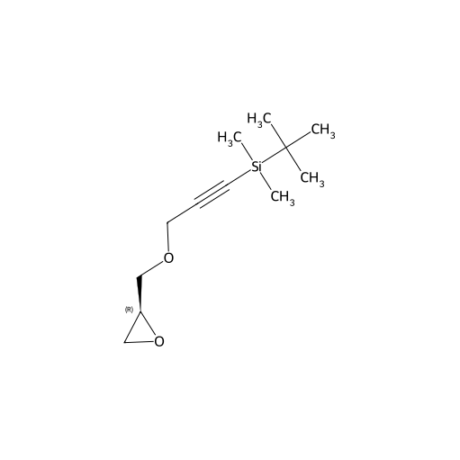 CC(C)(C)[Si](C)(C)C#CCOC[C@@H]1CO1